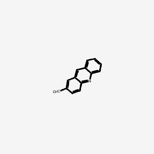 O=Cc1ccc2nc3ccccc3cc2c1